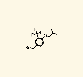 CC(C)COc1ccc(CBr)cc1C(F)(F)F